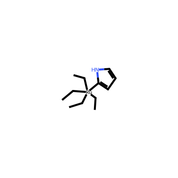 C[CH2][Ru]([CH2]C)([CH2]C)([CH2]C)[c]1ccc[nH]1